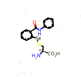 N[C@@H](CS[Se]c1ccccc1C(=O)Nc1ccccc1)C(=O)O